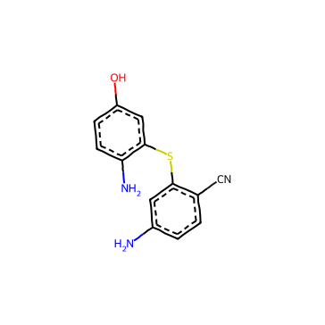 N#Cc1ccc(N)cc1Sc1cc(O)ccc1N